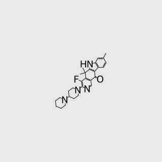 Cc1ccc2c3c([nH]c2c1)C(C)(C)c1c(cnc(N2CCC(N4CCCCC4)CC2)c1F)C3=O